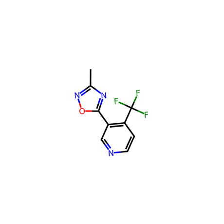 Cc1noc(-c2cnccc2C(F)(F)F)n1